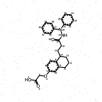 O=C(O)COc1ccc2c(c1)CCCC2CCC(=O)NN(c1ccccc1)c1ccccc1